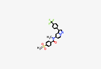 CN(C(=O)c1ccc(S(C)(=O)=O)cc1)c1ccn2ncc(-c3ccc(C(F)(F)F)cc3)c2c1